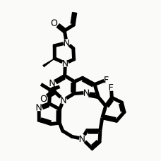 C=CC(=O)N1CCN(c2nc(=O)n3c4nc(c(F)cc24)-c2c(F)cccc2-c2ccn(c2)CCc2ccnc(C(C)C)c2-3)[C@@H](C)C1